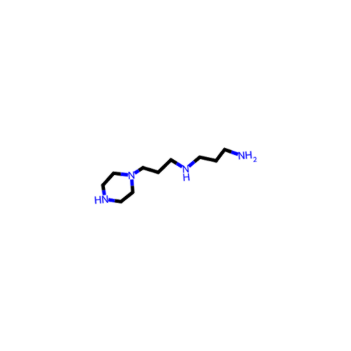 NCCCNCCCN1CCNCC1